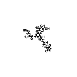 CN(CC(=O)OC(C)(C)C)C(=O)OCc1ccc(O[C@H]2O[C@H](CO)[C@@H](O)[C@H](O)[C@@H]2O)c(NC(=O)CCNC(=O)CCN2C(=O)C=CC2=O)c1